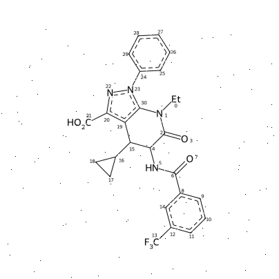 CCN1C(=O)C(NC(=O)c2cccc(C(F)(F)F)c2)C(C2CC2)c2c(C(=O)O)nn(-c3ccccc3)c21